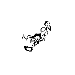 CC(C)CC(OC(=O)N1CCOCC1)C(=O)NC1(C#N)CCN(C2CCCCC2)C1